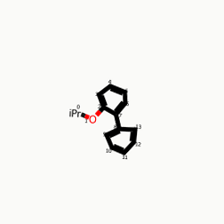 CC(C)Oc1c[c]ccc1-c1ccccc1